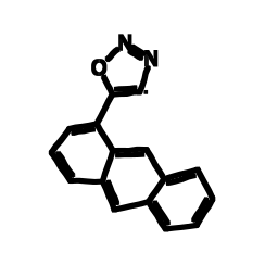 [c]1nnoc1-c1cccc2cc3ccccc3cc12